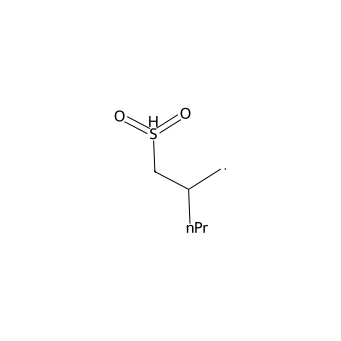 [CH2]C(CCC)C[SH](=O)=O